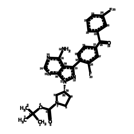 CC(C)(C)OC(=O)N1CC[C@@H](n2nc(-c3ccc(C(=O)c4cccc(F)c4)cc3F)c3c(N)ncnc32)C1